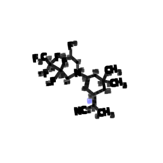 C/C(C#N)=C1/C=C(N(CCF)CC(F)(F)C(F)(F)C(F)(F)F)CC(C)(C)C1